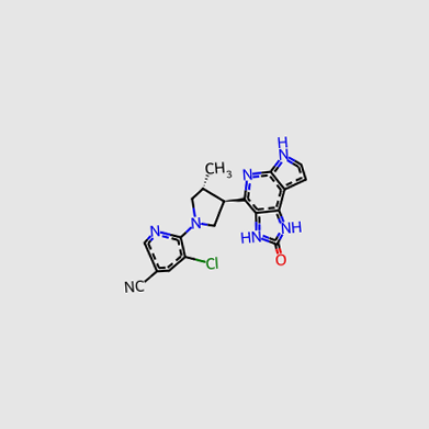 C[C@H]1CN(c2ncc(C#N)cc2Cl)C[C@@H]1c1nc2[nH]ccc2c2[nH]c(=O)[nH]c12